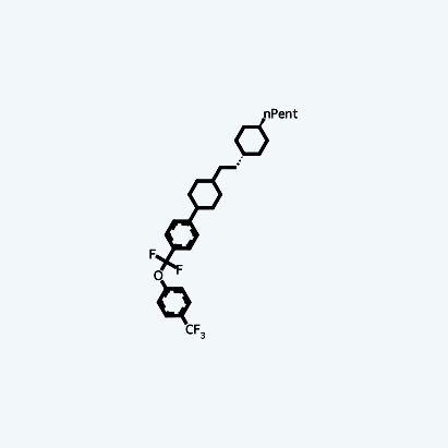 CCCCC[C@H]1CC[C@H](CCC2CCC(c3ccc(C(F)(F)Oc4ccc(C(F)(F)F)cc4)cc3)CC2)CC1